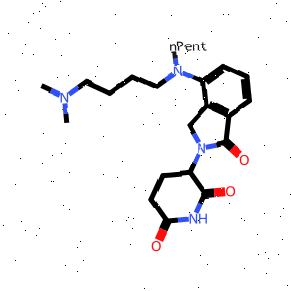 CCCCCN(CCCCN(C)C)c1cccc2c1CN(C1CCC(=O)NC1=O)C2=O